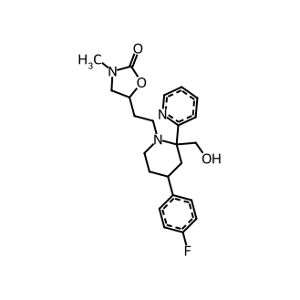 CN1CC(CCN2CCC(c3ccc(F)cc3)CC2(CO)c2ccccn2)OC1=O